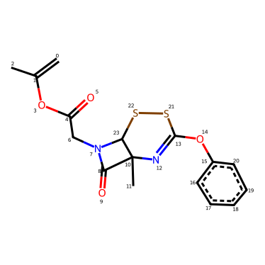 C=C(C)OC(=O)CN1C(=O)C2(C)N=C(Oc3ccccc3)SSC12